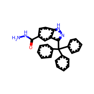 NNC(=O)c1ccc2[nH]nc(C(c3ccccc3)(c3ccccc3)c3ccccc3)c2c1